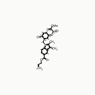 C=CCOC(=O)c1ccc2c(c1)c(C)c(C)n2Cc1cc(O[C@H](CC)C(=O)OC)ccc1Cl